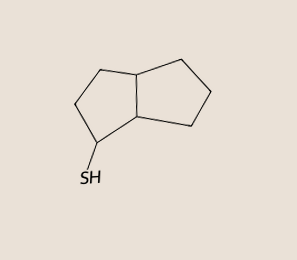 SC1CCC2CCCC12